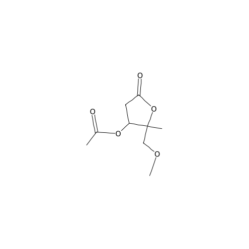 COCC1(C)OC(=O)CC1OC(C)=O